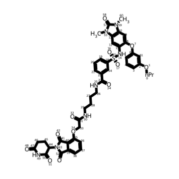 CCCOc1cccc(Oc2cc3c(cc2NS(=O)(=O)c2cccc(C(=O)NCCCCNC(=O)COc4cccc5c4C(=O)N(C4CCC(=O)NC4=O)C5=O)c2)n(C)c(=O)n3C)c1